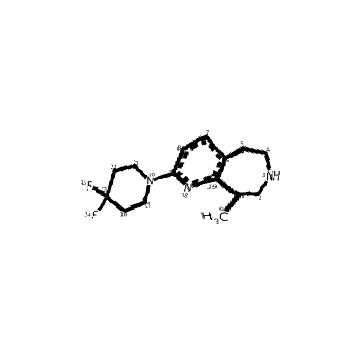 CC1CNCCc2ccc(N3CCC(F)(F)CC3)nc21